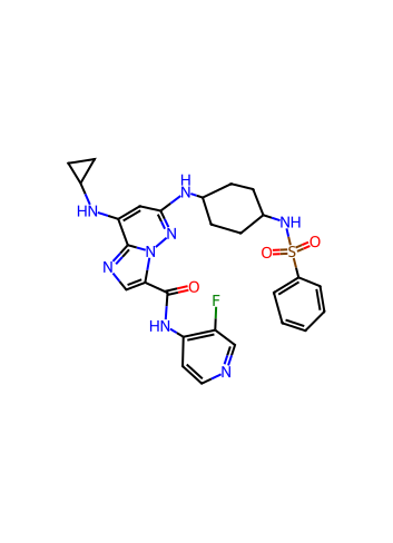 O=C(Nc1ccncc1F)c1cnc2c(NC3CC3)cc(NC3CCC(NS(=O)(=O)c4ccccc4)CC3)nn12